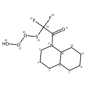 O=C(N1CCCC2CCCCC21)C(F)(F)SOOO